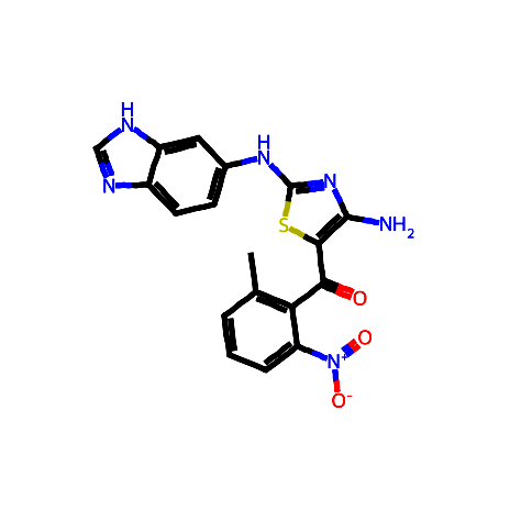 Cc1cccc([N+](=O)[O-])c1C(=O)c1sc(Nc2ccc3nc[nH]c3c2)nc1N